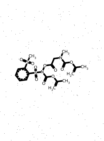 C=C(C)OC(=O)N(C)CC(=O)ON(C(=O)OC(=C)C)S(=O)(=O)c1ccccc1S(C)(=O)=O